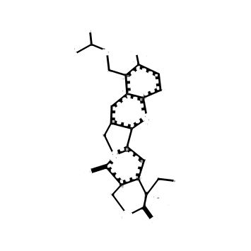 CC[C@@]1(O)C(=O)OCc2c1cc1n(c2=O)Cc2cc3c(CNC(C)C)c(P)ccc3nc2-1